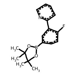 CC1(C)OB(c2ccc(F)c(-c3ccccn3)c2)OC1(C)C